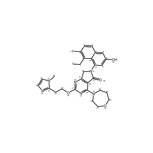 CCc1c(F)ccc2cc(O)cc(N3Cc4nc(OCCc5nccn5C)nc(N5CCCOCC5)c4C3=O)c12